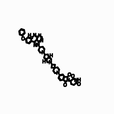 Nc1ncnc2c1c(-c1ccc(Oc3ccccc3)cc1)nn2C1CCN(C2C[C@@H]3CN(C4CC5(CCN(c6ccc7c(c6)C(=O)N(C6CCC(=O)NC6=O)C7=O)CC5)C4)C[C@@H]3C2)CC1